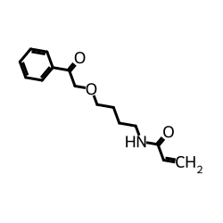 C=CC(=O)NCCCCOCC(=O)c1ccccc1